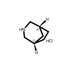 C1C[C@H]2CNC[C@@H]1C2.Cl